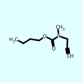 C#CCN(C)C(=O)OCCCC